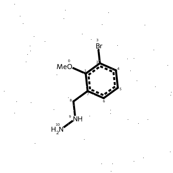 COc1c(Br)cccc1CNN